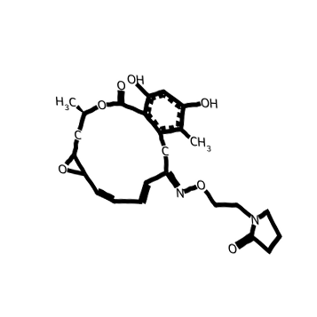 Cc1c(O)cc(O)c2c1CC(=N\OCCN1CCCC1=O)/C=C/C=C\C1OC1C[C@@H](C)OC2=O